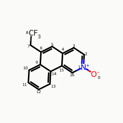 [O-][n+]1ccc2cc(CC(F)(F)F)c3ccccc3c2c1